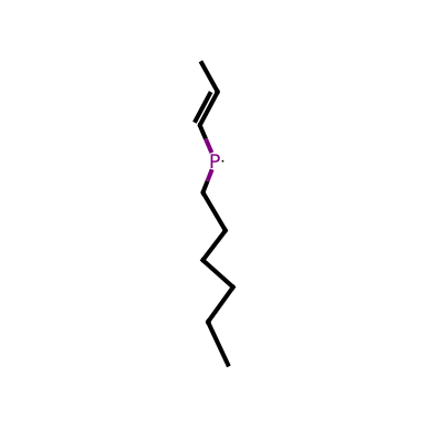 CC=C[P]CCCCCC